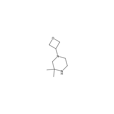 CC1(C)CN(C2COC2)CCN1